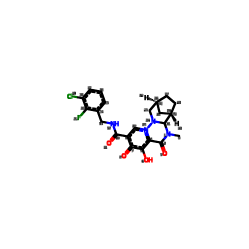 CN1C(=O)c2c(O)c(=O)c(C(=O)NCc3cccc(Cl)c3F)cn2N2C[C@H]3CC[C@@H](C3)C12